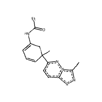 CCC(=O)NC1=CC=CC(C)(c2ccc3nnc(C)n3n2)C1